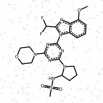 COc1cccc2c1nc(C(F)F)n2-c1nc(N2CCOCC2)nc(N2CCCC2NS(C)(=O)=O)n1